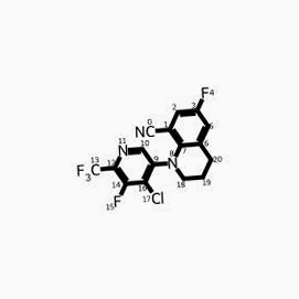 N#Cc1cc(F)cc2c1N(c1cnc(C(F)(F)F)c(F)c1Cl)CCC2